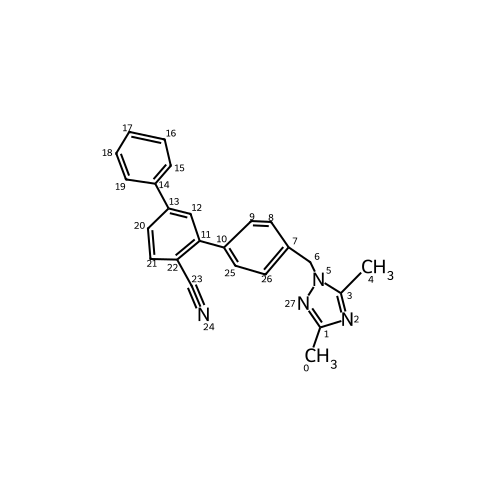 Cc1nc(C)n(Cc2ccc(-c3cc(-c4ccccc4)ccc3C#N)cc2)n1